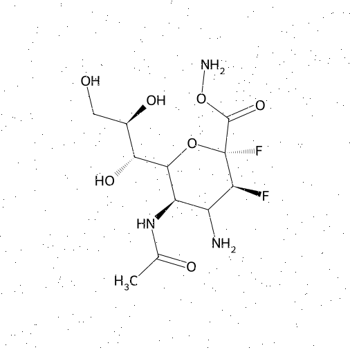 CC(=O)N[C@H]1C([C@H](O)[C@H](O)CO)O[C@@](F)(C(=O)ON)[C@@H](F)C1N